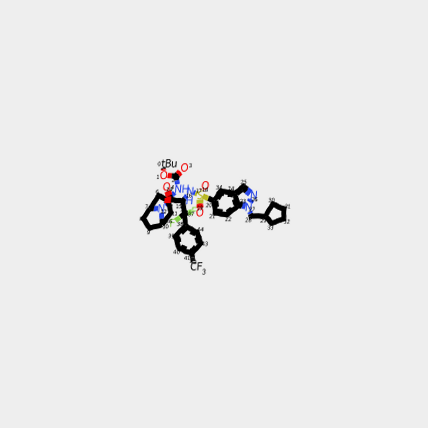 CC(C)(C)OC(=O)NC1CC2CCC(C1)N2C(=O)C(NS(=O)(=O)c1ccc2c(cnn2CC2CCCC2)c1)C(F)(F)c1ccc(C(F)(F)F)cc1